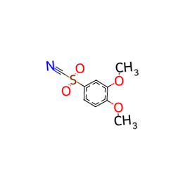 COc1ccc(S(=O)(=O)C#N)cc1OC